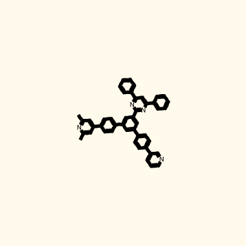 Cc1cc(-c2ccc(-c3cc(-c4ccc(-c5cccnc5)cc4)cc(-c4nc(-c5ccccc5)cc(-c5ccccc5)n4)c3)cc2)cc(C)n1